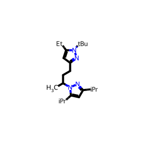 CCc1cc(CCC(C)n2nc(C(C)C)cc2C(C)C)nn1C(C)(C)C